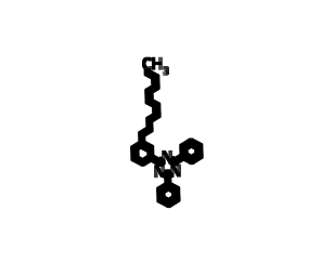 CC\C=C/C=C\C=C/CCCC1=CC(c2nc(-c3ccccc3)nc(-c3ccccc3)n2)CC=C1